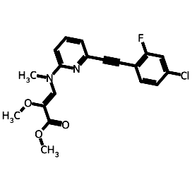 COC(=O)C(=CN(C)c1cccc(C#Cc2ccc(Cl)cc2F)n1)OC